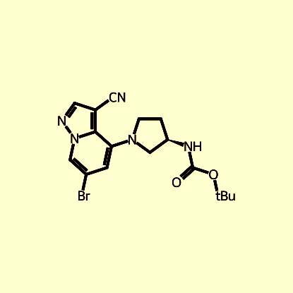 CC(C)(C)OC(=O)N[C@@H]1CCN(c2cc(Br)cn3ncc(C#N)c23)C1